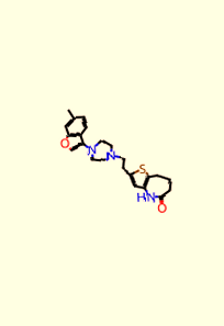 Cc1ccc2c(N3CCN(CCc4cc5c(s4)CCCC(=O)N5)CC3)coc2c1